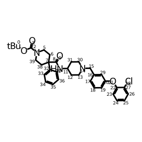 CC(C)(C)OC(=O)N1CCC(C(=O)NC2CCN(Cc3cccc(Oc4ccccc4Cl)c3)CC2)(c2ccccc2)CC1